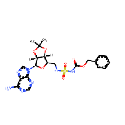 CC1(C)O[C@@H]2[C@H](O1)[C@@H](CNS(=O)(=O)NC(=O)OCc1ccccc1)O[C@H]2n1cnc2c(N)ncnc21